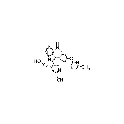 C#Cc1cc2c(cn1)-c1c3c4c(ncnc4n1C1C(O)CC21)NCc1cc(Oc2cccc(C)n2)ccc1-3